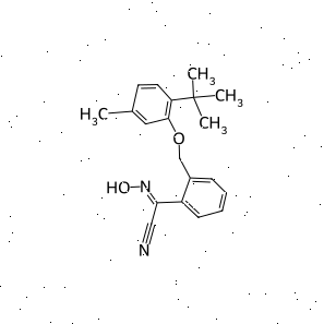 Cc1ccc(C(C)(C)C)c(OCc2ccccc2C(C#N)=NO)c1